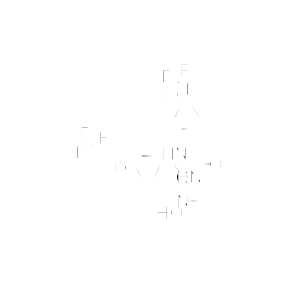 CC(CNC(=O)C(Cc1ccc(OC(F)(F)F)cc1)NC(=O)c1ccc(OCCC(F)(F)F)cc1)=NO